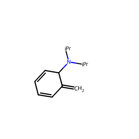 C=C1C=CC=CC1N(C(C)C)C(C)C